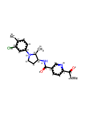 CNC(=O)c1ccc(C(=O)N[C@H]2CCN(c3ccc(C#N)c(Cl)c3)[C@H]2C)cn1